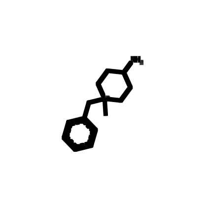 C[N+]1(Cc2ccccc2)CCC(N)CC1